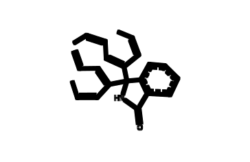 C=C/C=C(\C=C/C)C1(C(/C=C\C)=C/C=C\C)NC(=O)c2ccccc21